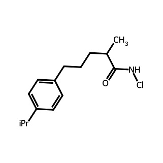 CC(CCCc1ccc(C(C)C)cc1)C(=O)NCl